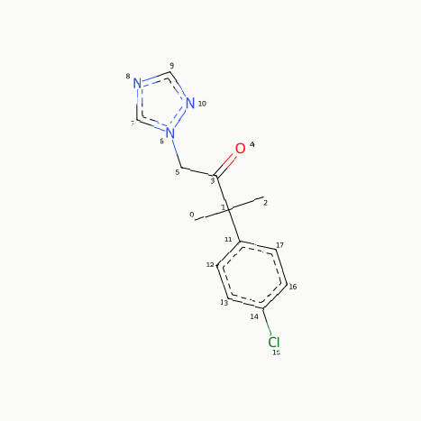 CC(C)(C(=O)Cn1cncn1)c1ccc(Cl)cc1